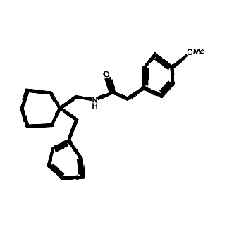 COc1ccc(CC(=O)NCC2(Cc3ccccc3)CCCCC2)cc1